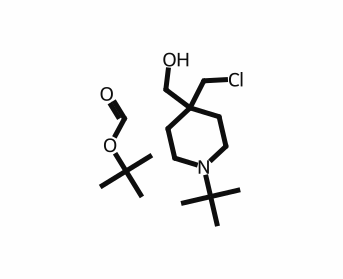 CC(C)(C)N1CCC(CO)(CCl)CC1.CC(C)(C)OC=O